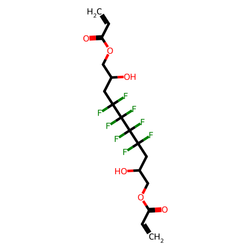 C=CC(=O)OCC(O)CC(F)(F)C(F)(F)C(F)(F)C(F)(F)CC(O)COC(=O)C=C